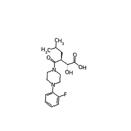 CC(C)C[C@H](C(=O)N1CCN(c2ccccc2F)CC1)[C@@H](O)C(=O)O